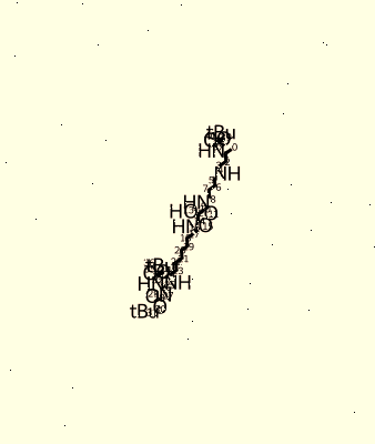 CC(CCNCCCCNC(=O)C(O)C(=O)NCCCCCCCCN/C(=N/C(=O)OC(C)(C)C)NC(=O)OC(C)(C)C)NC(=O)OC(C)(C)C